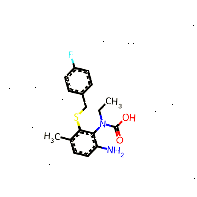 CCN(C(=O)O)c1c(N)ccc(C)c1SCc1ccc(F)cc1